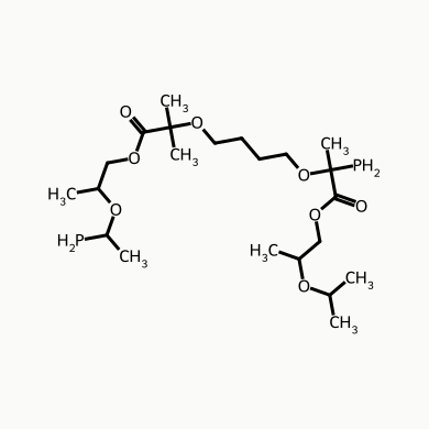 CC(C)OC(C)COC(=O)C(C)(P)OCCCCOC(C)(C)C(=O)OCC(C)OC(C)P